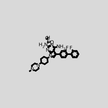 CN1CCN(C2CCC(n3cc(-c4ccc(-c5ccccc5F)c(F)c4)c4c(N)ncnc43)CC2)CC1.N[SH](=O)=O